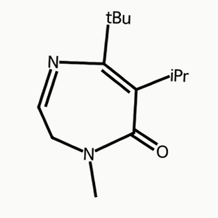 CC(C)C1=C(C(C)(C)C)N=CCN(C)C1=O